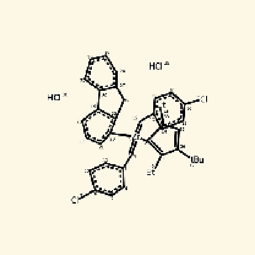 CCC1=[C]([Zr](=[CH]c2ccc(Cl)cc2)(=[CH]c2ccc(Cl)cc2)[c]2cccc3c2Cc2ccccc2-3)C(CC)C=C1C(C)(C)C.Cl.Cl